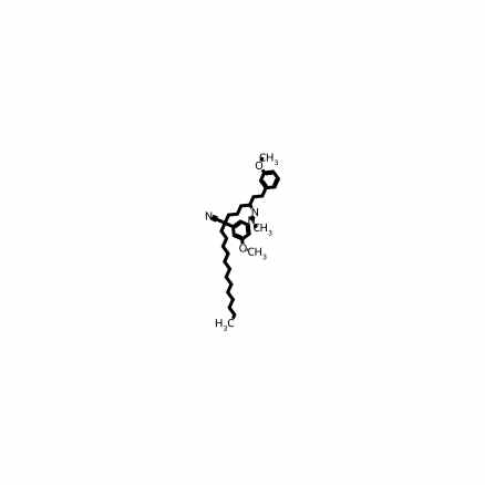 CCCCCCCCCCCCCC(C#N)(CCCC(CCc1cccc(OC)c1)N=NC)c1cccc(OC)c1